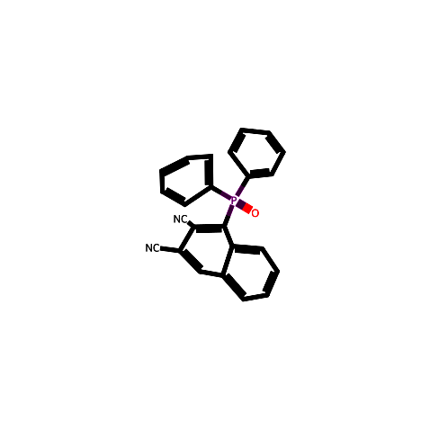 N#Cc1cc2ccccc2c(P(=O)(c2ccccc2)c2ccccc2)c1C#N